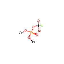 CCOP(=O)(OCC)OC(F)(Br)Br